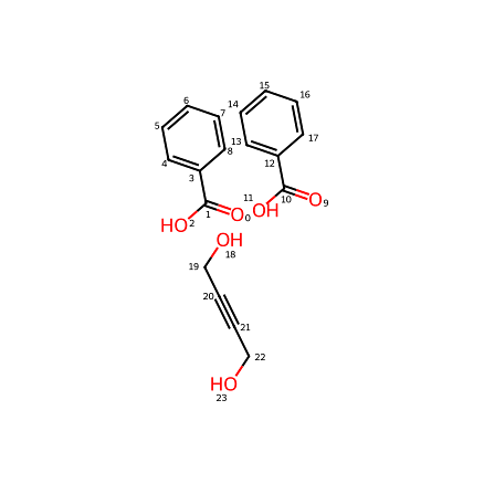 O=C(O)c1ccccc1.O=C(O)c1ccccc1.OCC#CCO